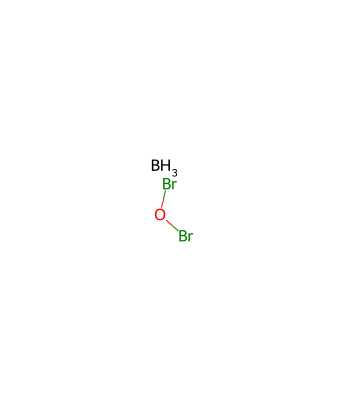 B.BrOBr